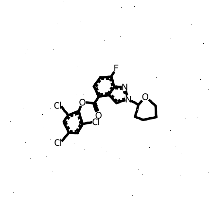 O=C(Oc1c(Cl)cc(Cl)cc1Cl)c1ccc(F)c2nn(C3CCCCO3)cc12